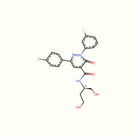 O=C(N[C@@H](CO)CCO)c1cc(-c2ccc(Cl)cc2)nn(-c2cccc(F)c2)c1=O